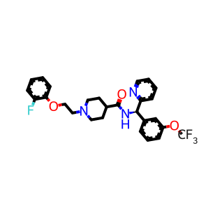 O=C(N[C@H](c1cccc(OC(F)(F)F)c1)c1ccccn1)C1CCN(CCOc2ccccc2F)CC1